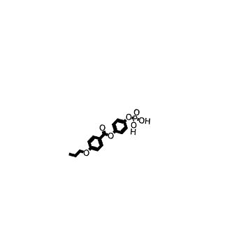 CCCOc1ccc(C(=O)Oc2ccc(OP(=O)(O)O)cc2)cc1